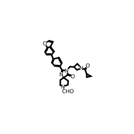 O=CN1CCC2(CC1)N=C(c1ccc(-c3ccc4occc4c3)cc1)N(CC1CN(C(=O)C3CC3)C1)C2=O